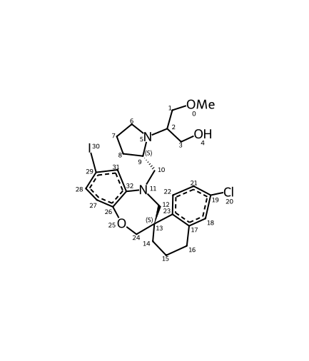 COCC(CO)N1CCC[C@H]1CN1C[C@@]2(CCCc3cc(Cl)ccc32)COc2ccc(I)cc21